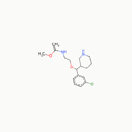 C=C(NCCOC(c1cccc(Cl)c1)C1CCCNC1)OC